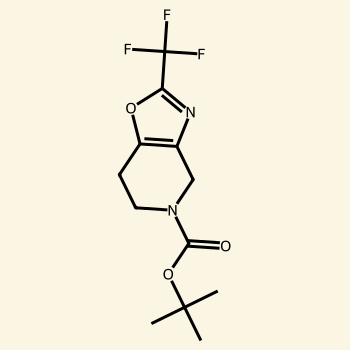 CC(C)(C)OC(=O)N1CCc2oc(C(F)(F)F)nc2C1